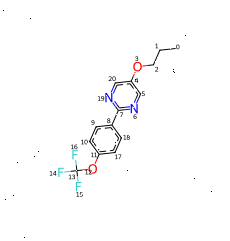 CCCOc1cnc(-c2ccc(OC(F)(F)F)cc2)nc1